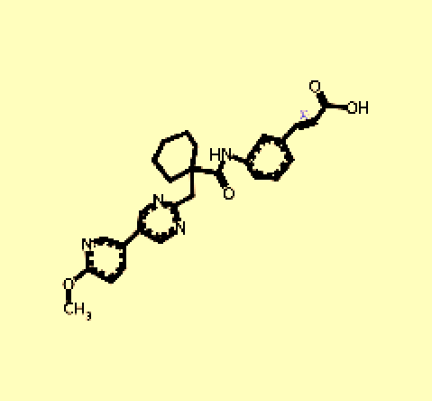 COc1ccc(-c2cnc(CC3(C(=O)Nc4cccc(/C=C/C(=O)O)c4)CCCCC3)nc2)cn1